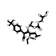 CCn1nc(C)cc1/C(OC(C)OC(=O)SCC(=O)OC)=C(\C#N)c1ccc(C(C)(C)C)cc1